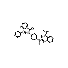 CN(C)c1nc(N[C@H]2CC[C@@H](NC(=O)c3cccnc3Oc3ccccc3)CC2)nc2ccccc12